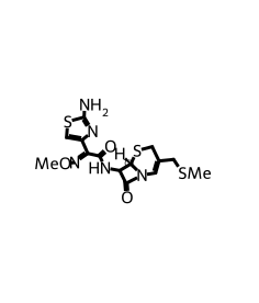 CON=C(C(=O)NC1C(=O)N2C=C(CSC)CS[C@@H]12)c1csc(N)n1